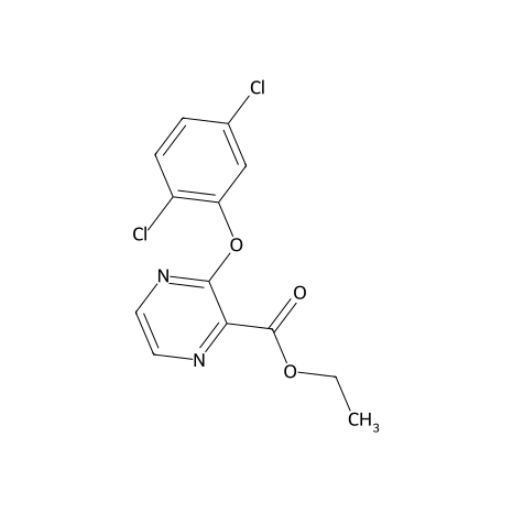 CCOC(=O)c1nccnc1Oc1cc(Cl)ccc1Cl